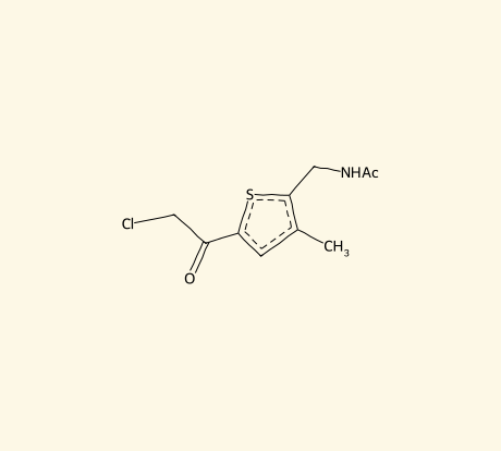 CC(=O)NCc1sc(C(=O)CCl)cc1C